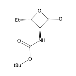 CC[C@@H]1OC(=O)[C@H]1NC(=O)OC(C)(C)C